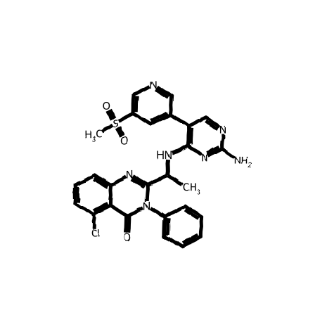 CC(Nc1nc(N)ncc1-c1cncc(S(C)(=O)=O)c1)c1nc2cccc(Cl)c2c(=O)n1-c1ccccc1